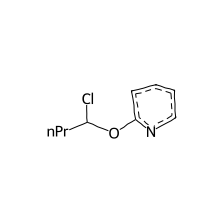 CCCC(Cl)Oc1ccccn1